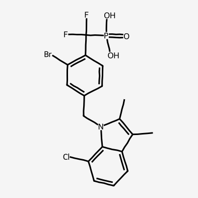 Cc1c(C)n(Cc2ccc(C(F)(F)P(=O)(O)O)c(Br)c2)c2c(Cl)cccc12